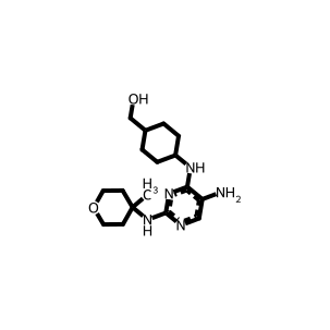 CC1(Nc2ncc(N)c(NC3CCC(CO)CC3)n2)CCOCC1